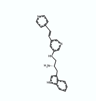 N[C@H](CNc1cncc(C=Cc2ccncc2)c1)Cc1c[nH]c2ccccc12